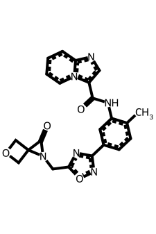 Cc1ccc(-c2noc(CN3C(=O)C34COC4)n2)cc1NC(=O)c1cnc2ccccn12